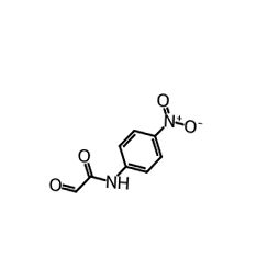 O=CC(=O)Nc1ccc([N+](=O)[O-])cc1